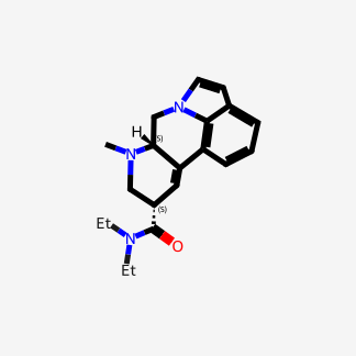 CCN(CC)C(=O)[C@H]1C=C2c3cccc4ccn(c34)C[C@H]2N(C)C1